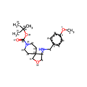 COc1ccc(CNC2COCC23CCN(C(=O)OC(C)(C)C)CC3)cc1